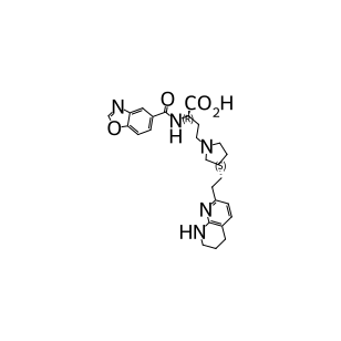 O=C(N[C@H](CCN1CC[C@H](CCc2ccc3c(n2)NCCC3)C1)C(=O)O)c1ccc2ocnc2c1